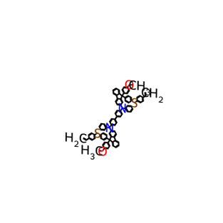 C=Cc1ccc(Sc2ccc(C3(c4ccc(OC)cc4)c4ccccc4-c4ccc(N(c5ccccc5)c5ccc(-c6ccc(N(c7ccccc7)c7ccc8c(c7)C(c7ccc(OC)cc7)(c7ccc(Sc9ccc(C=C)cc9)cc7)c7ccccc7-8)cc6)cc5)cc43)cc2)cc1